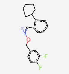 Fc1ccc(CO/N=[C]\c2ccccc2C2CCCCC2)cc1F